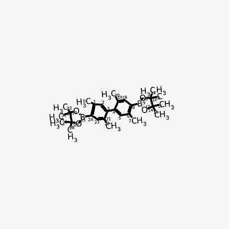 Cc1cc(-c2cc(C)c(B3OC(C)(C)C(C)(C)O3)cc2C)c(C)cc1B1OC(C)(C)C(C)(C)O1